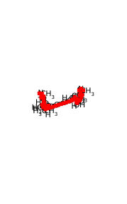 Cc1ncsc1-c1ccc(CNC(=O)[C@@H]2C[C@@H](O)CN2C(=O)[C@@H](NC(=O)COCCCOCCCCCOCCCOCC(=O)N[C@H](C(=O)N2C[C@H](O)C[C@H]2C(=O)NCC2=CCC(c3scnc3C)C=C2)C(C)(C)C)C(C)(C)C)cc1